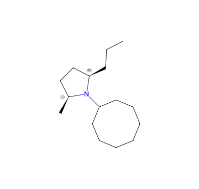 CCC[C@@H]1CC[C@H](C)N1C1CCCCCCC1